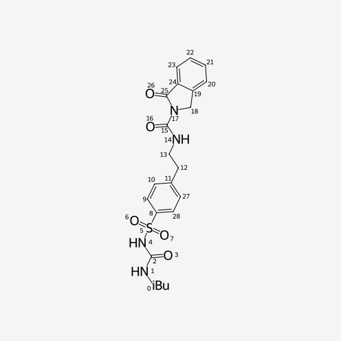 CCC(C)NC(=O)NS(=O)(=O)c1ccc(CCNC(=O)N2Cc3ccccc3C2=O)cc1